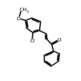 COc1ccc(/C=C/C(=O)c2ccccc2)c(Cl)c1